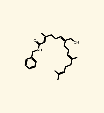 CC(C)=CCC/C(C)=C/CC/C(=C\CC/C(C)=C/C(=O)NCc1ccccc1)CO